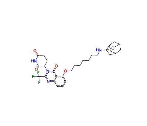 O=C1CCC(n2c(C(F)(F)F)nc3cccc(OCCCCCCCNC45CC6CC(CC4C6)C5)c3c2=O)C(=O)N1